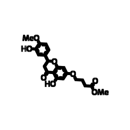 COC(=O)CCCOc1cc(O)c2c(c1)OC(c1ccc(OC)c(O)c1)CC2=O